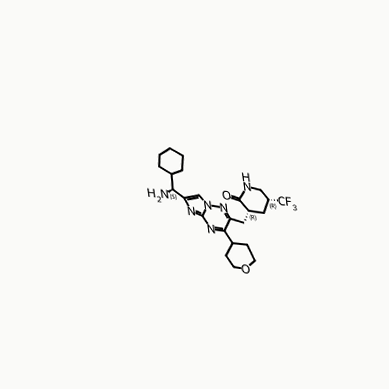 N[C@H](c1cn2nc(C[C@H]3C[C@@H](C(F)(F)F)CNC3=O)c(C3CCOCC3)nc2n1)C1CCCCC1